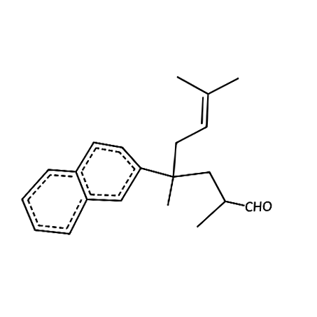 CC(C)=CCC(C)(CC(C)C=O)c1ccc2ccccc2c1